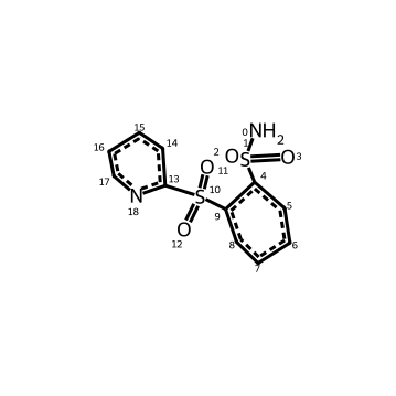 NS(=O)(=O)c1ccccc1S(=O)(=O)c1ccccn1